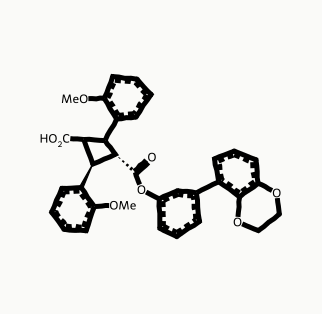 COc1ccccc1C1C(C(=O)O)[C@H](c2ccccc2OC)[C@H]1C(=O)Oc1cccc(-c2cccc3c2OCCO3)c1